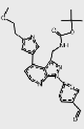 COCCn1cc(-c2ccnc3c2c(CNC(=O)OC(C)(C)C)nn3-c2ccc(C=O)cc2)cn1